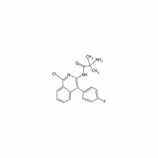 CC(C)(N)C(=O)Nc1nc(Cl)c2ccccc2c1-c1ccc(F)cc1